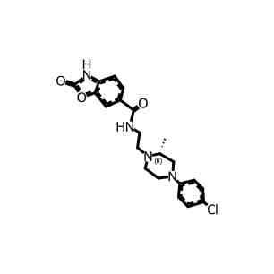 C[C@@H]1CN(c2ccc(Cl)cc2)CCN1CCNC(=O)c1ccc2[nH]c(=O)oc2c1